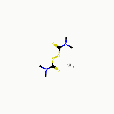 CN(C)C(=S)SSC(=S)N(C)C.[SiH4]